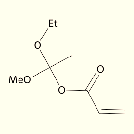 C=CC(=O)OC(C)(OC)OCC